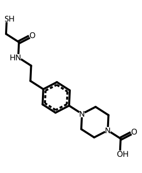 O=C(CS)NCCc1ccc(N2CCN(C(=O)O)CC2)cc1